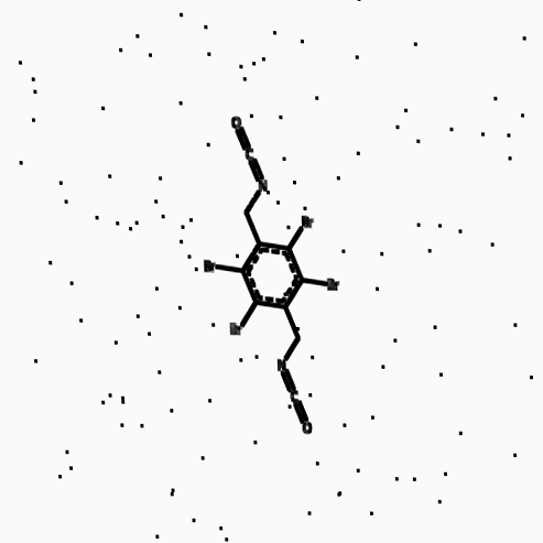 O=C=NCc1c(Br)c(Br)c(CN=C=O)c(Br)c1Br